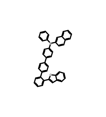 c1ccc(N(c2ccc(-c3ccc(-c4ccccc4-c4cc5ccccc5o4)cc3)cc2)c2ccc3ccccc3c2)cc1